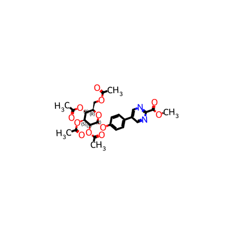 COC(=O)c1ncc(-c2ccc(O[C@H]3O[C@H](COC(C)=O)[C@@H](OC(C)=O)[C@H](OC(C)=O)[C@@H]3OC(C)=O)cc2)cn1